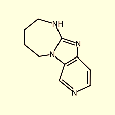 c1cc2nc3n(c2cn1)CCCCN3